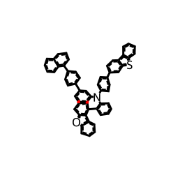 c1cc(-c2ccc(-c3cccc4ccccc34)cc2)cc(N(c2ccc(-c3ccc4c(c3)sc3ccccc34)cc2)c2ccccc2-c2cccc3oc4ccccc4c23)c1